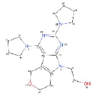 OCCn1c2c(c3c(N4CCCC4)nc(N4CCCC4)nc31)COCC2